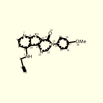 C#CCNc1ccnc2sc3c(=O)n(-c4ccc(OC)cc4)cnc3c12